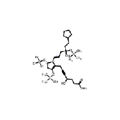 CC[Si](CC)(CC)O[C@H]1CC(O[Si](C)(C)C(C)(C)C)=C(CC#CC(O)CCC(=O)OC)[C@@H]1/C=C/CC(C)(CCC1CCCC1)O[Si](C)(C)C